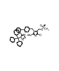 CCCCc1nc(Cl)c(COS(C)(=O)=O)n1Cc1ccc(-c2ccccc2-c2nnnn2C(c2ccccc2)(c2ccccc2)c2ccccc2)cc1